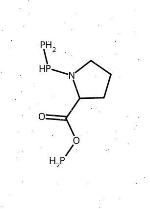 O=C(OP)C1CCCN1PP